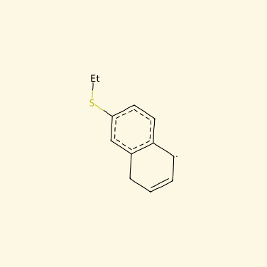 CCSc1ccc2c(c1)CC=C[CH]2